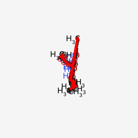 CCCCCCCCCCCCCCCC(=O)NCCOCCNC(=O)CC[C@H](NC(=O)CCOCCNC(=O)CCN1C(=O)CC(C(C)C)C1=O)C(=O)NCCOCCNC(=O)O[C@H]1CC[C@@]2(C)C(=CC[C@H]3[C@@H]4CC[C@H]([C@H](C)CCCC(C)C)[C@@]4(C)CC[C@@H]32)C1